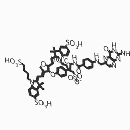 CC1(C)C(/C=C/C2=C(Oc3ccc(C[C@H](NC(=O)c4ccc(NCc5cnc6nc(N)[nH]c(=O)c6n5)cc4)C(=O)O)cc3)C(=C/C=C3/N(CCCCS(=O)(=O)O)c4ccc(S(=O)(=O)O)cc4C3(C)C)/CO2)=[N+](CCCCS(=O)(=O)[O-])c2ccc(S(=O)(=O)O)cc21